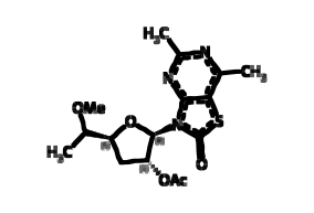 COC(C)[C@@H]1C[C@@H](OC(C)=O)[C@H](n2c(=O)sc3c(C)nc(C)nc32)O1